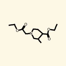 CCOC(=O)CN1CCC(C(=O)OCC)C(C)C1